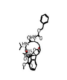 COC(=O)c1nc2oc1C13c4cc(ccc4O[C@@H]1N(S(C)(=O)=O)c1ccccc13)C[C@H](NC(=O)OCc1ccccc1)C(=O)N[C@H]2C(C)C